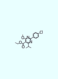 CCOC(=O)c1c(OC)nc(-c2ccc(Cl)cc2)nc1C(C)C